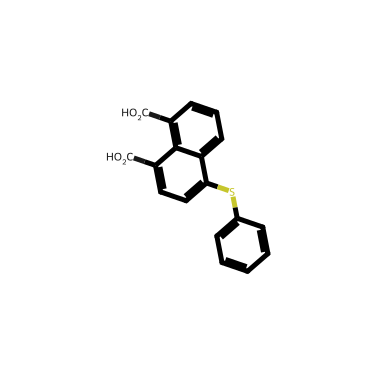 O=C(O)c1cccc2c(Sc3ccccc3)ccc(C(=O)O)c12